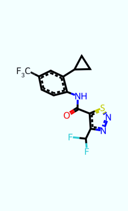 O=C(Nc1ccc(C(F)(F)F)cc1C1CC1)c1snnc1C(F)F